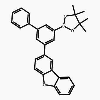 CC1(C)OB(c2cc(-c3ccccc3)cc(-c3ccc4oc5ccccc5c4c3)c2)OC1(C)C